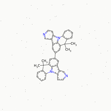 CC1(C)c2ccccc2-n2c3ccncc3c3cc(-c4cc5c6c(c4)c4cnccc4n6-c4ccccc4C5(C)C)cc1c32